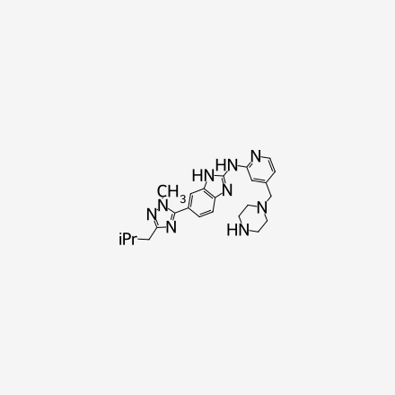 CC(C)Cc1nc(-c2ccc3nc(Nc4cc(CN5CCNCC5)ccn4)[nH]c3c2)n(C)n1